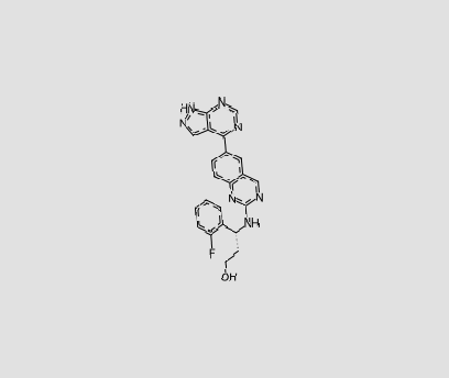 OCC[C@@H](Nc1ncc2cc(-c3ncnc4[nH]ncc34)ccc2n1)c1ccccc1F